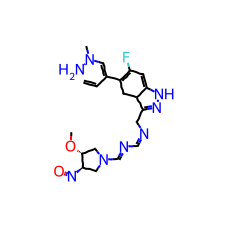 C=C/C(=C\N(C)N)C1=C(F)C=C2NN=C(C/N=C\N=C\N3C[C@@H](N=O)[C@H](OC)C3)C2C1